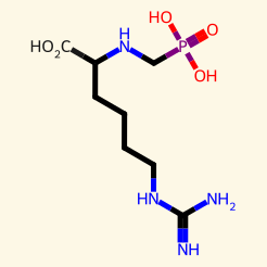 N=C(N)NCCCCC(NCP(=O)(O)O)C(=O)O